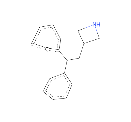 c1ccc(C(CC2CNC2)c2ccccc2)cc1